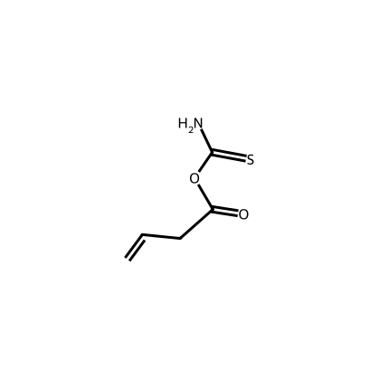 C=CCC(=O)OC(N)=S